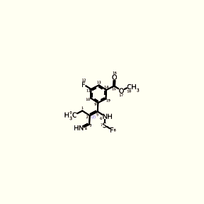 CC/C(C=N)=C(/NSF)c1cc(F)cc(C(=O)OC)c1